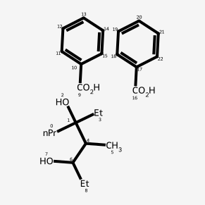 CCCC(O)(CC)C(C)C(O)CC.O=C(O)c1ccccc1.O=C(O)c1ccccc1